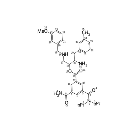 CCCN(CCC)C(=O)c1cc(C(N)=O)cc(C(=O)OC(CNCc2cccc(OC)c2)C(N)Cc2cccc(C)c2)c1